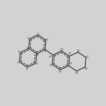 [c]1ccc2ccccc2c1-c1ccc2c(c1)CCCC2